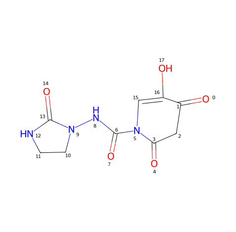 O=C1CC(=O)N(C(=O)NN2CCNC2=O)C=C1O